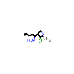 C=CCCC(N)c1ccnc(C(F)(F)F)c1Cl